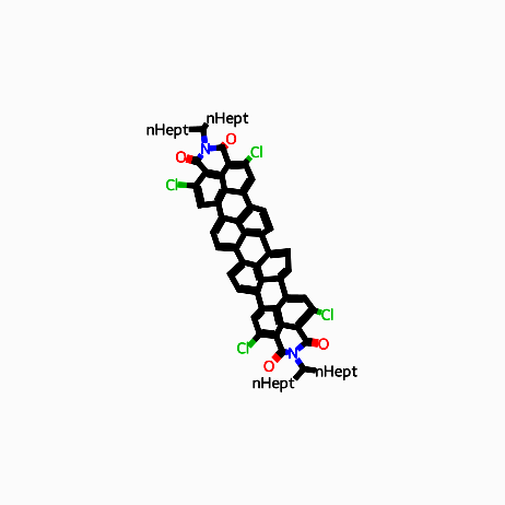 CCCCCCCC(CCCCCCC)N1C(=O)c2c(Cl)cc3c4ccc5c6ccc7c8cc(Cl)c9c%10c(c(Cl)cc(c%11ccc(c%12ccc(c%13cc(Cl)c(c2c3%13)C1=O)c4c5%12)c6c7%11)c%108)C(=O)N(C(CCCCCCC)CCCCCCC)C9=O